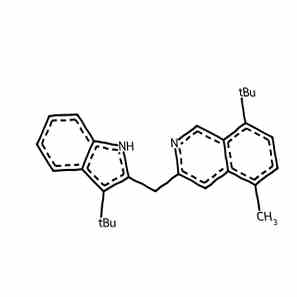 Cc1ccc(C(C)(C)C)c2cnc(Cc3[nH]c4ccccc4c3C(C)(C)C)cc12